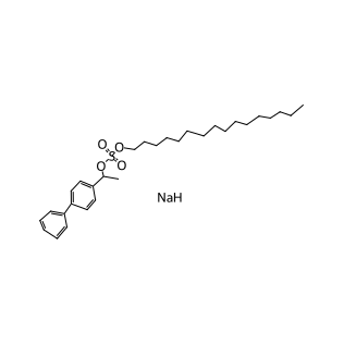 CCCCCCCCCCCCCCCCOS(=O)(=O)OC(C)c1ccc(-c2ccccc2)cc1.[NaH]